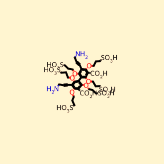 NCC#Cc1c(OCCCS(=O)(=O)O)c(C(=O)O)c(OCCCS(=O)(=O)O)c(-c2c(OCCCS(=O)(=O)O)c(C#CCN)c(OCCCS(=O)(=O)O)c(C(=O)O)c2OCCCS(=O)(=O)O)c1OCCCS(=O)(=O)O